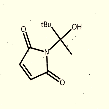 CC(C)(C)C(C)(O)N1C(=O)C=CC1=O